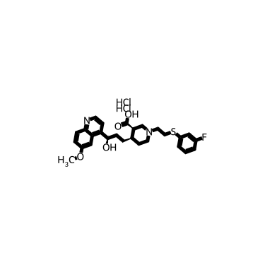 COc1ccc2nccc([C@H](O)CC[C@@H]3CCN(CCSc4cccc(F)c4)C[C@@H]3C(=O)O)c2c1.Cl.Cl